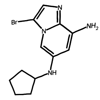 Nc1cc(NC2CCCC2)cn2c(Br)cnc12